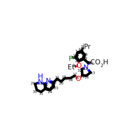 CCOc1c(F)cc(C(C)C)cc1[C@H](C(=O)O)N1CC[C@@H](OCCCCCc2ccc3c(n2)NCCC3)C1